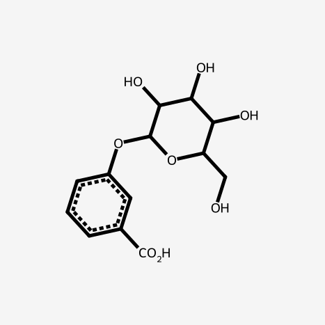 O=C(O)c1cccc(OC2OC(CO)C(O)C(O)C2O)c1